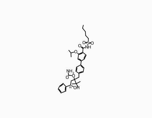 CCCCCS(=O)(=O)NC(=O)c1ccc(-c2ccc(CC(C[C@@H](O)c3ccccc3)(OC(N)=O)C(C)(C)C)cc2)cc1OC(C)C